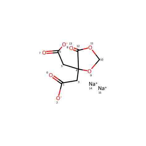 O=C([O-])CC1(CC(=O)[O-])OCOC1=O.[Na+].[Na+]